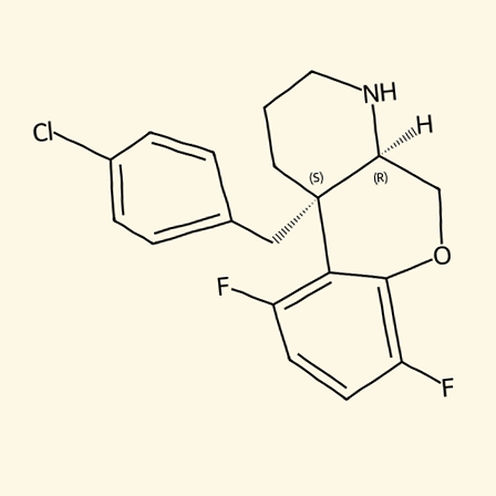 Fc1ccc(F)c2c1OC[C@@H]1NCCC[C@]21Cc1ccc(Cl)cc1